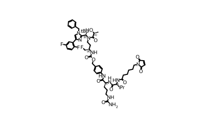 CC(C)[C@H](NC(=O)CCCCCN1C(=O)C=CC1=O)C(=O)N[C@@H](CCCNC(N)=O)C(=O)Nc1ccc(COC(=O)N[C@@H](CF)CCN(C(=O)[C@H](C)O)[C@@H](c2nc(-c3cc(F)ccc3F)cn2Cc2ccccc2)C(C)(C)C)cc1